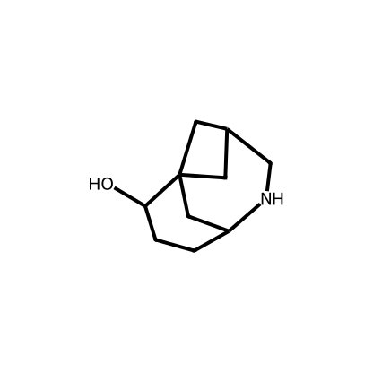 OC1CCC2CC13CC(CN2)C3